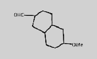 COC1CCC2CC(C=O)CCC2C1